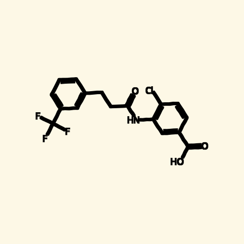 O=C(CCc1cccc(C(F)(F)F)c1)Nc1cc(C(=O)O)ccc1Cl